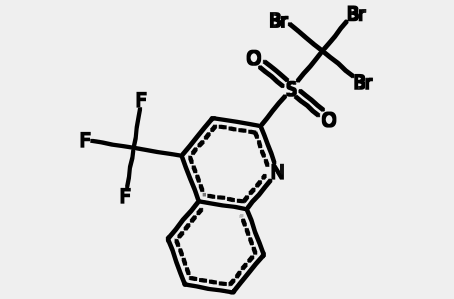 O=S(=O)(c1cc(C(F)(F)F)c2ccccc2n1)C(Br)(Br)Br